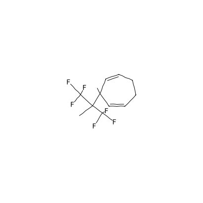 CC1(C(C)(C(F)(F)F)C(F)(F)F)C=CCCC=C1